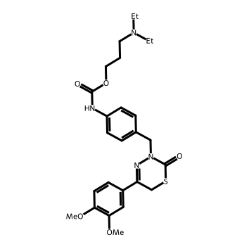 CCN(CC)CCCOC(=O)Nc1ccc(CN2N=C(c3ccc(OC)c(OC)c3)CSC2=O)cc1